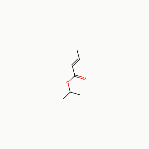 C/C=C/C(=O)OC(C)C